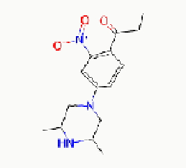 CCC(=O)c1ccc(N2CC(C)NC(C)C2)cc1[N+](=O)[O-]